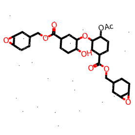 CC(=O)OC1CCC(C(=O)OCC2CCC3OC3C2)CC1OC1CC(C(=O)OCC2CCC3OC3C2)CCC1O